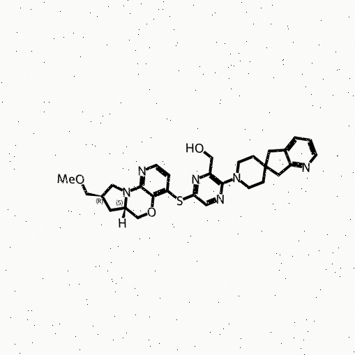 COC[C@@H]1C[C@H]2COc3c(Sc4cnc(N5CCC6(CC5)Cc5cccnc5C6)c(CO)n4)ccnc3N2C1